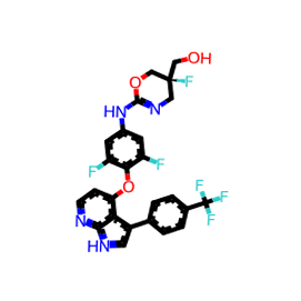 OC[C@]1(F)CN=C(Nc2cc(F)c(Oc3ccnc4[nH]cc(-c5ccc(C(F)(F)F)cc5)c34)c(F)c2)OC1